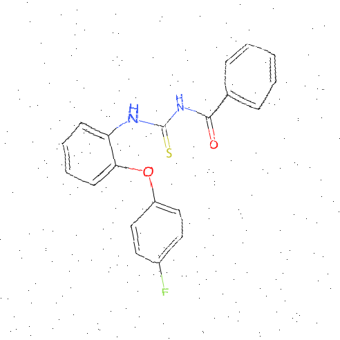 O=C(NC(=S)Nc1ccccc1Oc1ccc(F)cc1)c1ccccc1